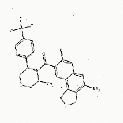 C[C@H]1COC[C@@H](c2ccc(C(F)(F)F)cn2)N1C(=O)c1cc2c3c(c(N)nc2cc1Cl)COC3